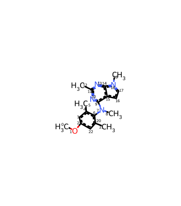 COc1cc(C)c(N(C)c2nc(C)nc3c2ccn3C)c(C)c1